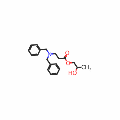 CC(O)COC(=O)CCN(Cc1ccccc1)Cc1ccccc1